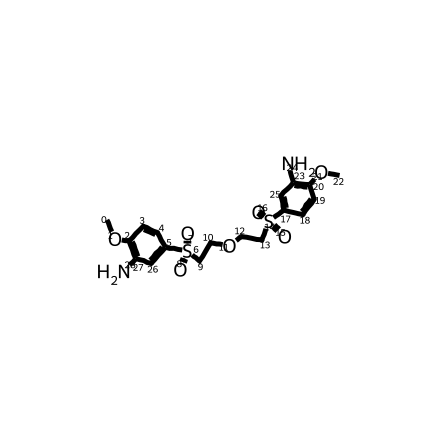 COc1ccc(S(=O)(=O)CCOCCS(=O)(=O)c2ccc(OC)c(N)c2)cc1N